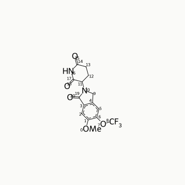 COc1cc2c(cc1OC(F)(F)F)CN(C1CCC(=O)NC1=O)C2=O